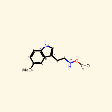 COc1ccc2[nH]cc(CCNOC=O)c2c1